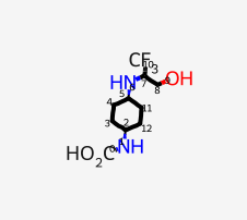 O=C(O)N[C@H]1CC[C@@H](NC(CO)C(F)(F)F)CC1